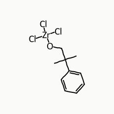 CC(C)(C[O][Zr]([Cl])([Cl])[Cl])c1ccccc1